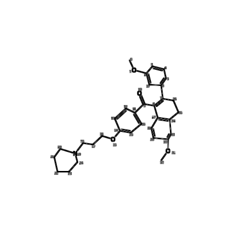 COc1cccc(C2=C(C(=O)c3ccc(OCCCN4CCCCC4)cc3)c3ccc(OC)cc3CC2)c1